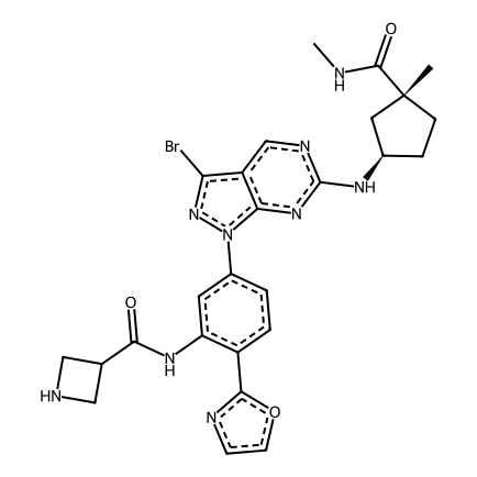 CNC(=O)[C@]1(C)CC[C@@H](Nc2ncc3c(Br)nn(-c4ccc(-c5ncco5)c(NC(=O)C5CNC5)c4)c3n2)C1